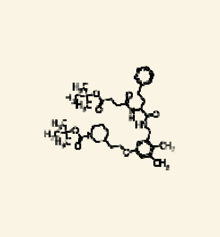 Cc1cc(OCCC2CCCN(C(=O)OC(C)(C)C)C2)cc(CNC(=O)C(CCc2ccccc2)NC(=O)CCC(=O)OC(C)(C)C)c1C